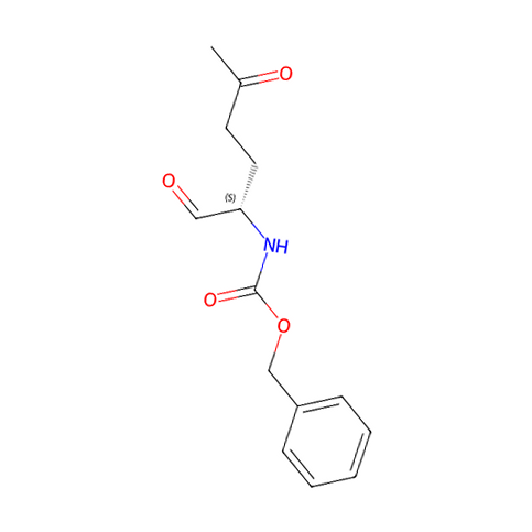 CC(=O)CC[C@@H](C=O)NC(=O)OCc1ccccc1